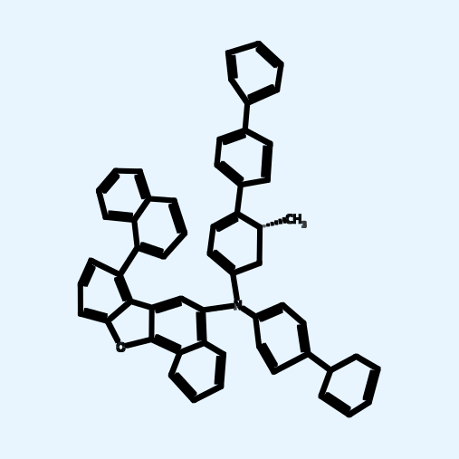 C[C@@H]1CC(N(c2ccc(C3C=CC=CC3)cc2)c2cc3c(oc4cccc(-c5cccc6ccccc56)c43)c3ccccc23)=CC=C1c1ccc(-c2ccccc2)cc1